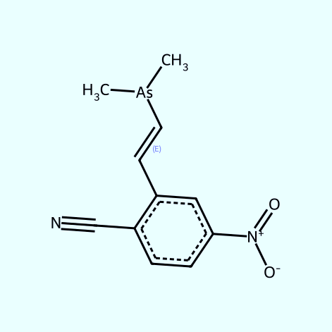 C[As](C)/C=C/c1cc([N+](=O)[O-])ccc1C#N